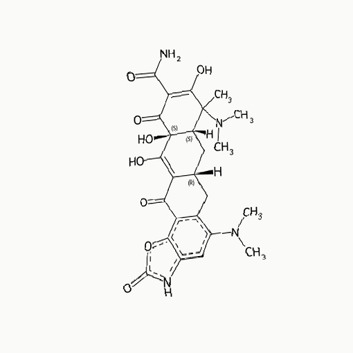 CN(C)c1cc2[nH]c(=O)oc2c2c1C[C@H]1C[C@H]3C(C)(N(C)C)C(O)=C(C(N)=O)C(=O)[C@@]3(O)C(O)=C1C2=O